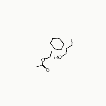 C1CCCCC1.CCCCO.CCOC(C)=O